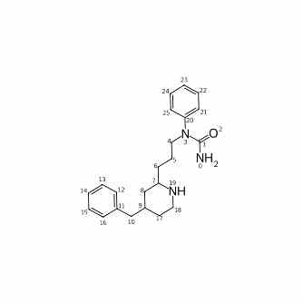 NC(=O)N(CCCC1CC(Cc2ccccc2)CCN1)c1ccccc1